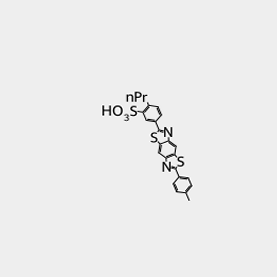 CCCc1ccc(-c2nc3cc4sc(-c5ccc(C)cc5)nc4cc3s2)cc1S(=O)(=O)O